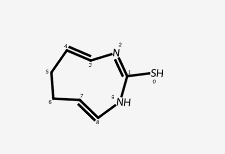 S/C1=N/C=C/CC/C=C/N1